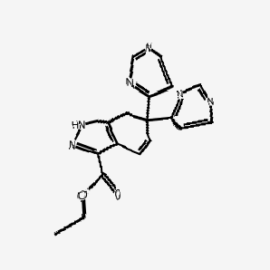 CCOC(=O)c1n[nH]c2c1C=CC(c1ccncn1)(c1ccncn1)C2